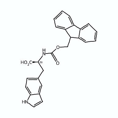 O=C(N[C@@H](Cc1ccc2[nH]ccc2c1)C(=O)O)OCC1c2ccccc2-c2ccccc21